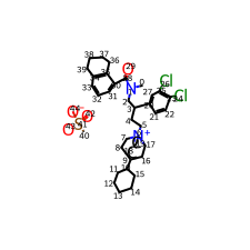 CN(CC(CC[N+]12CCC(C3CCCCC3)(CC1)CC2)c1ccc(Cl)c(Cl)c1)C(=O)c1cccc2c1CCCC2.CS(=O)(=O)[O-]